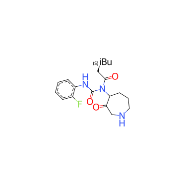 [CH2]C[C@H](C)CC(=O)N(C(=O)Nc1ccccc1F)C1CCCNCC1=O